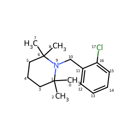 CC1(C)CCCC(C)(C)N1Cc1ccccc1Cl